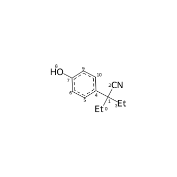 CCC(C#N)(CC)c1ccc(O)cc1